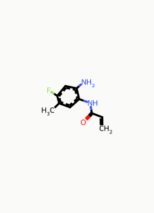 C=CC(=O)Nc1cc(C)c(F)cc1N